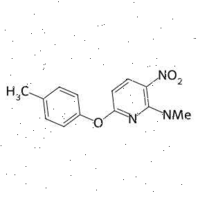 CNc1nc(Oc2ccc(C)cc2)ccc1[N+](=O)[O-]